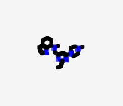 CCc1nc(CN(C)C2CCCc3cccnc32)cc(N2CCN(C)CC2)n1